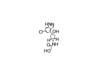 O=C(CO)N[C@@H]1[C@@H]2C[C@@](O)(c3cc(Cl)cc4[nH]ncc34)C[C@@H]21